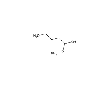 CCCCC(O)Br.N